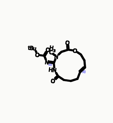 CN1CC(=O)OCC/C=C/CCCC(=O)N/C1=N/C(=O)OC(C)(C)C